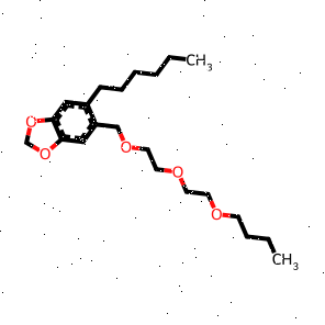 CCCCCCc1cc2c(cc1COCCOCCOCCCC)OCO2